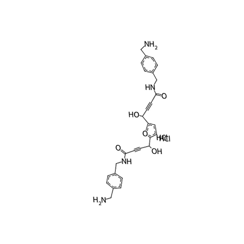 Cl.Cl.NCc1ccc(CNC(=O)C#CC(O)c2ccc(C(O)C#CC(=O)NCc3ccc(CN)cc3)o2)cc1